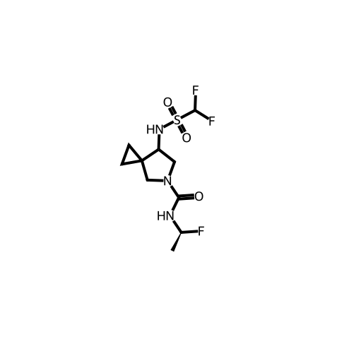 C[C@H](F)NC(=O)N1CC(NS(=O)(=O)C(F)F)C2(CC2)C1